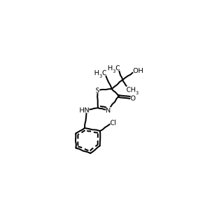 CC(C)(O)C1(C)SC(Nc2ccccc2Cl)=NC1=O